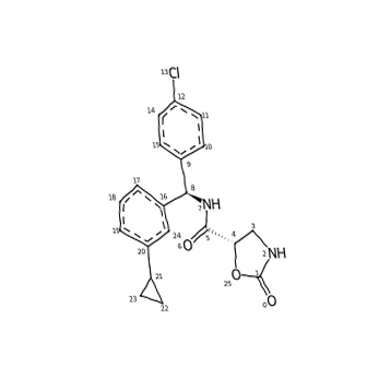 O=C1NC[C@@H](C(=O)N[C@H](c2ccc(Cl)cc2)c2cccc(C3CC3)c2)O1